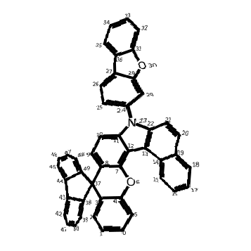 c1ccc2c(c1)Oc1c(ccc3c1c1c4ccccc4ccc1n3-c1ccc3c(c1)oc1ccccc13)C21c2ccccc2-c2ccccc21